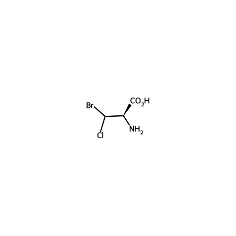 N[C@H](C(=O)O)C(Cl)Br